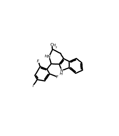 CC1Cc2c([nH]c3ccccc23)C(c2c(F)cc(I)cc2F)N1